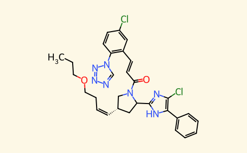 CCCOCC/C=C\[C@H]1CC(c2nc(Cl)c(-c3ccccc3)[nH]2)N(C(=O)/C=C/c2cc(Cl)ccc2-n2cnnn2)C1